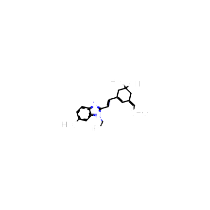 Cc1ccc2nc(/C=C/C3=CC(=CC=O)CC(C)(C)C3)n(CC(C)C)c2c1